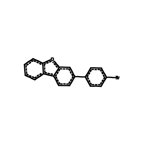 Brc1ccc(-c2ccc3c(c2)oc2ccccc23)cc1